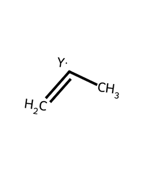 C=CC.[Y]